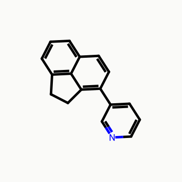 c1cncc(-c2ccc3cccc4c3c2CC4)c1